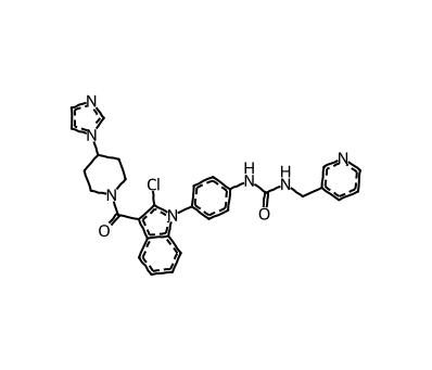 O=C(NCc1cccnc1)Nc1ccc(-n2c(Cl)c(C(=O)N3CCC(n4ccnc4)CC3)c3ccccc32)cc1